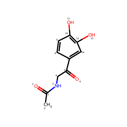 CC(=O)NCC(=O)c1ccc(O)c(O)c1